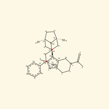 CC(=O)N1CCc2nc(C)n([C@H]3C[C@H]4CC[C@@H](C3)N4CC[C@H](N)c3ccccc3)c2C1